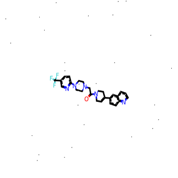 O=C(CN1CCN(c2ccc(C(F)(F)F)cn2)CC1)N1CC=C(c2ccc3ncccc3c2)CC1